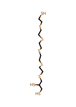 SCCSCCSCCSCCSCCSCC(S)CS